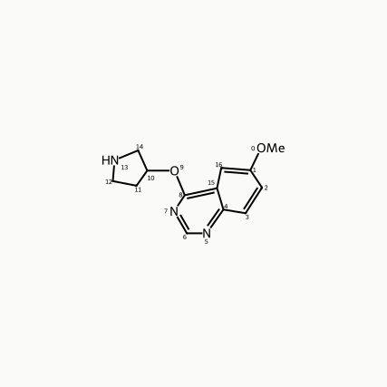 COc1ccc2ncnc(OC3CCNC3)c2c1